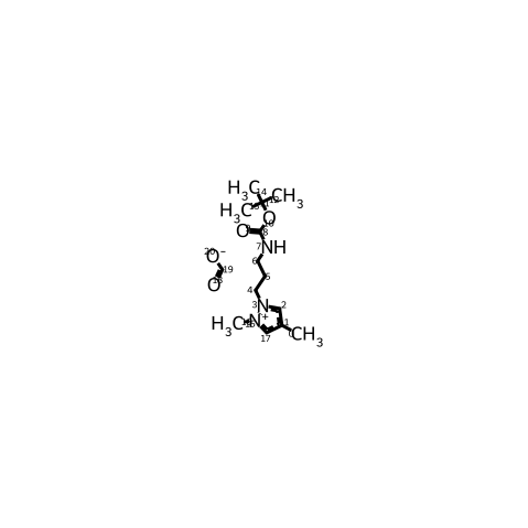 Cc1cn(CCCNC(=O)OC(C)(C)C)[n+](C)c1.O=C[O-]